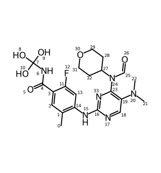 Cc1cc(C(=O)NC(O)(O)O)c(F)cc1Nc1ncc(N(C)C)c(N(C=O)C2CCOCC2)n1